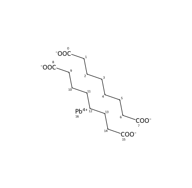 O=C([O-])CCCCCCC(=O)[O-].O=C([O-])CCCCCCC(=O)[O-].[Pb+4]